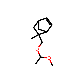 COC(C)OCC1(C)CC2C=CC1C2